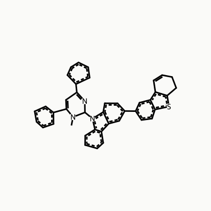 CN1C(c2ccccc2)=CC(c2ccccc2)=NC1n1c2ccccc2c2cc(-c3ccc4sc5c(c4c3)C=CCC5)ccc21